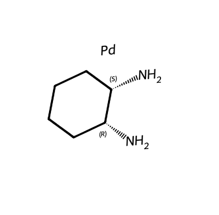 N[C@@H]1CCCC[C@@H]1N.[Pd]